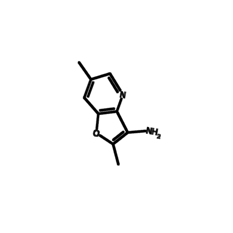 Cc1cnc2c(N)c(C)oc2c1